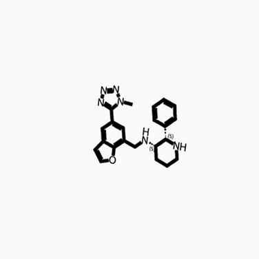 Cn1nnnc1-c1cc(CN[C@H]2CCCN[C@H]2c2ccccc2)c2occc2c1